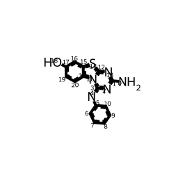 Nc1n/c(=N\c2ccccc2)n2c(n1)sc1cc(O)ccc12